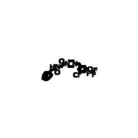 O=C(CC12CC3CC(C1)C(C3)C2)NCC(=O)N1CCN(Cc2cc(Cl)cc(OC(F)(F)F)c2)CC1